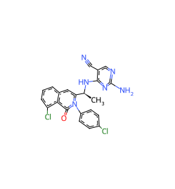 C[C@H](Nc1nc(N)ncc1C#N)c1cc2cccc(Cl)c2c(=O)n1-c1ccc(Cl)cc1